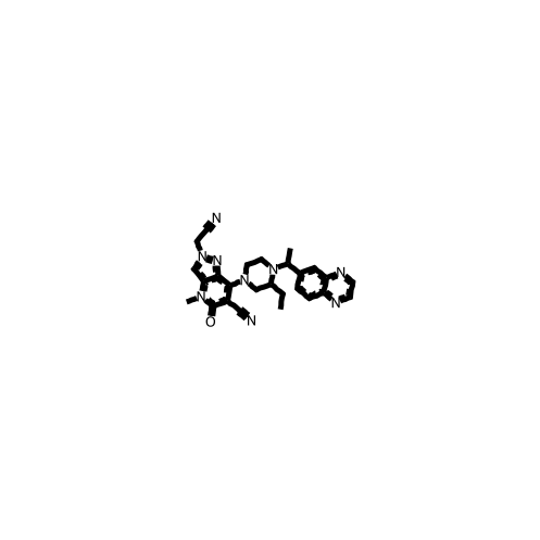 CCC1CN(c2c(C#N)c(=O)n(C)c3cn(CC#N)nc23)CCN1C(C)c1ccc2nccnc2c1